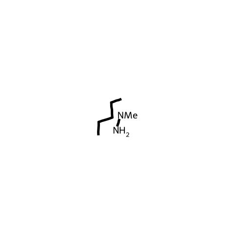 CCCCC.CNN